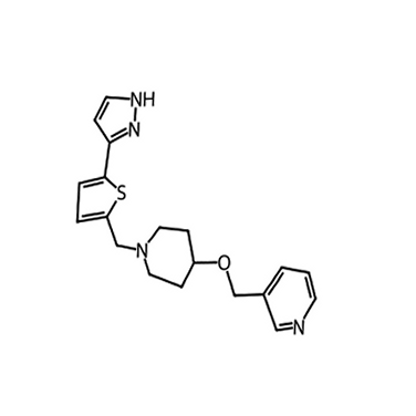 c1cncc(COC2CCN(Cc3ccc(-c4cc[nH]n4)s3)CC2)c1